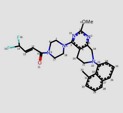 COc1nc2c(c(N3CCN(C(=O)/C=C/C(F)F)CC3)n1)CCN(c1cccc3cccc(C)c13)C2